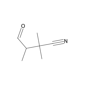 CC(C=O)C(C)(C)C#N